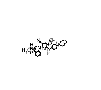 CNS(=O)(=O)c1ccccc1Nc1nc(Nc2ccc(N3CCOCC3)cc2OC)ncc1C#N